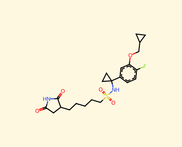 O=C1CC(CCCCCS(=O)(=O)NC2(c3ccc(F)c(OCC4CC4)c3)CC2)C(=O)N1